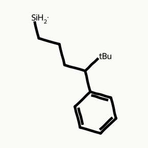 CC(C)(C)C(CCC[SiH2])c1ccccc1